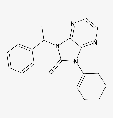 CC(c1ccccc1)n1c(=O)n(C2=CCCCC2)c2nccnc21